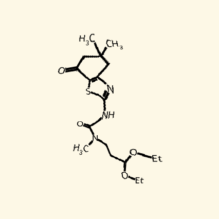 CCOC(CCN(C)C(=O)Nc1nc2c(s1)C(=O)CC(C)(C)C2)OCC